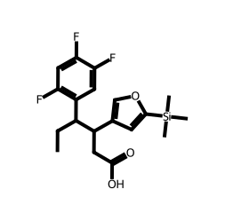 CCC(c1cc(F)c(F)cc1F)C(CC(=O)O)c1coc([Si](C)(C)C)c1